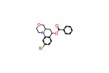 O=C(OC1CC2COCCN2c2cc(Br)ccc21)c1ccccc1